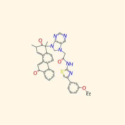 CCOc1cccc(-c2csc(NC(=O)CN3CN(C4(C)C(=O)C(C)C=c5c4ccc4c5=CC(=O)c5ccccc5-4)c4ncncc43)n2)c1